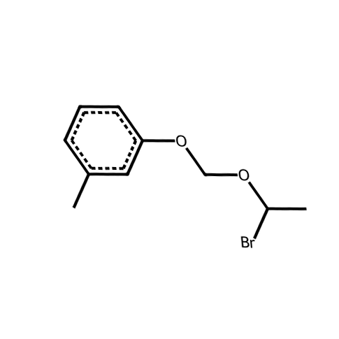 Cc1cccc(OCOC(C)Br)c1